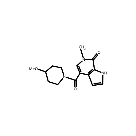 COC1CCN(C(=O)c2cn(C)c(=O)c3[nH]ccc23)CC1